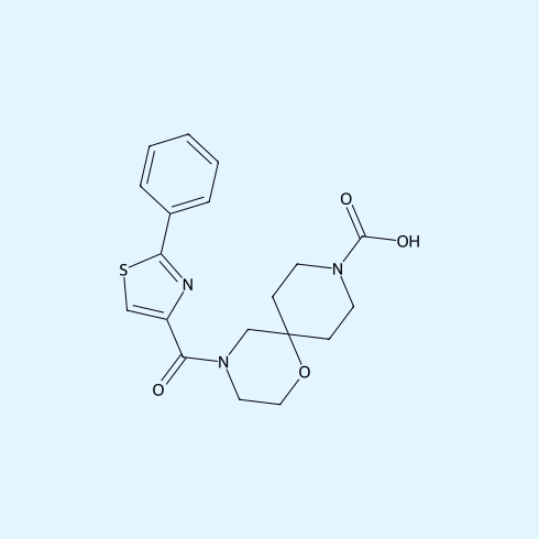 O=C(O)N1CCC2(CC1)CN(C(=O)c1csc(-c3ccccc3)n1)CCO2